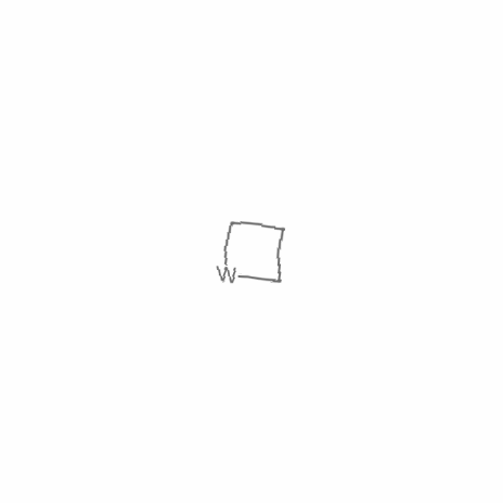 C1[CH2][W][CH2]1